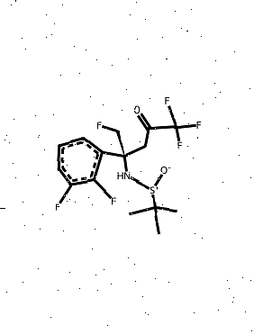 CC(C)(C)[S+]([O-])N[C@@](CF)(CC(=O)C(F)(F)F)c1cccc(F)c1F